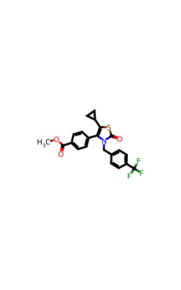 COC(=O)c1ccc(-c2c(C3CC3)sc(=O)n2Cc2ccc(C(F)(F)F)cc2)cc1